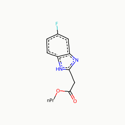 CCCOC(=O)Cc1nc2cc(F)ccc2[nH]1